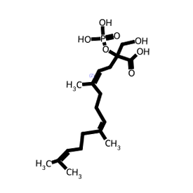 CC(C)=CCCC(C)=CCC/C(C)=C\CC(CO)(OP(=O)(O)O)C(=O)O